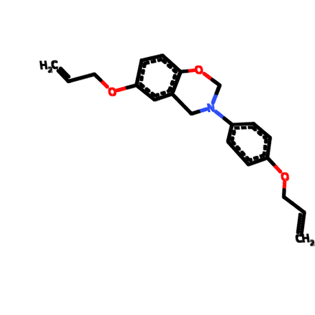 C=CCOc1ccc(N2COc3ccc(OCC=C)cc3C2)cc1